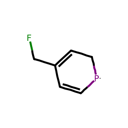 FCC1=CC[P]C=C1